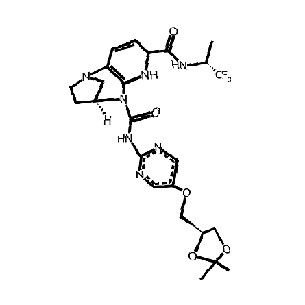 C[C@@H](NC(=O)C1C=CC2=C(N1)N(C(=O)Nc1ncc(OC[C@H]3COC(C)(C)O3)cn1)[C@H]1CCN2C1)C(F)(F)F